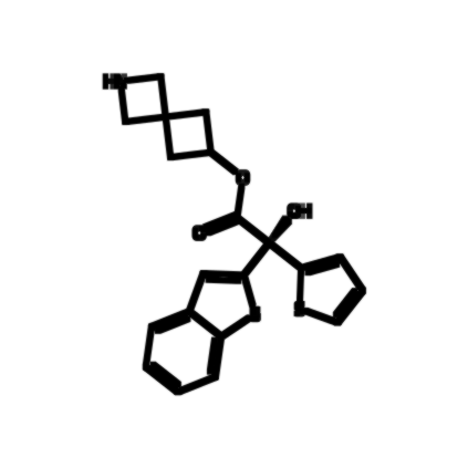 O=C(OC1CC2(CNC2)C1)[C@](O)(c1cccs1)c1cc2ccccc2s1